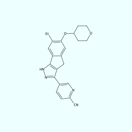 CCc1cc2c(cc1OC1CCOCC1)Cc1c(-c3ccc(C#N)nc3)n[nH]c1-2